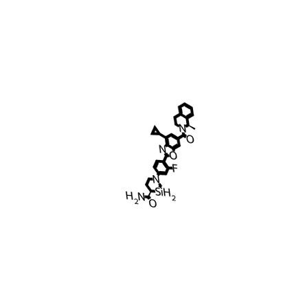 C[C@@H]1c2ccccc2CCN1C(=O)c1cc(C2CC2)c2nc(-c3ccc(N4CC[C@H](C(N)=O)[SiH2]C4)cc3F)oc2c1